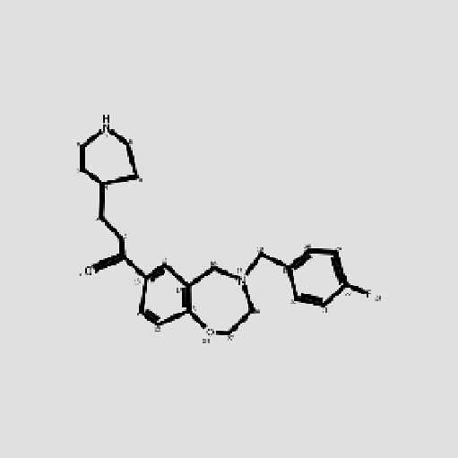 O=C(CCC1CCNCC1)c1ccc2c(c1)CN(Cc1ccc(F)cc1)CCO2